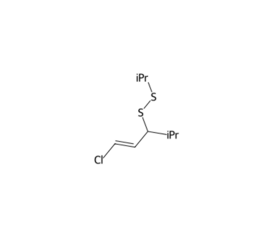 CC(C)SSC(/C=C/Cl)C(C)C